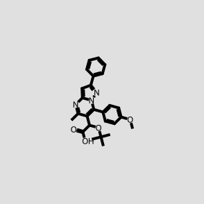 COc1ccc(-c2c(C(OC(C)(C)C)C(=O)O)c(C)nc3cc(-c4ccccc4)nn23)cc1